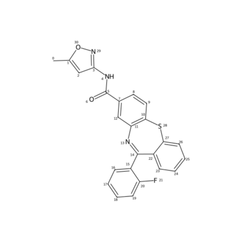 Cc1cc(NC(=O)c2ccc3c(c2)N=C(c2ccccc2F)c2ccccc2S3)no1